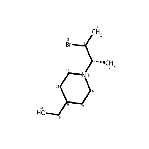 CC(Br)[C@H](C)N1CCC(CO)CC1